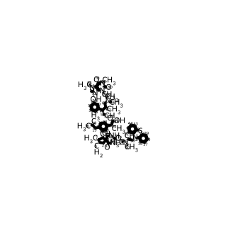 C=CCC1(C(C)CC)C(=O)NC(=O)NC1=O.CC(C)Cc1ccc(C(C)C(=O)O)cc1.CC(CN1c2ccccc2Sc2ccccc21)N(C)C.CC[C@@H](c1cccc(O)c1)[C@@H](C)CN(C)C.Cn1c(=O)c2c(ncn2C)n(C)c1=O